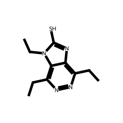 CCc1nnc(CC)c2c1nc(S)n2CC